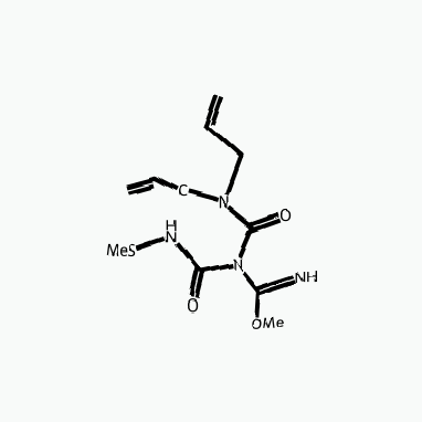 C=CCN(CC=C)C(=O)N(C(=N)OC)C(=O)NSC